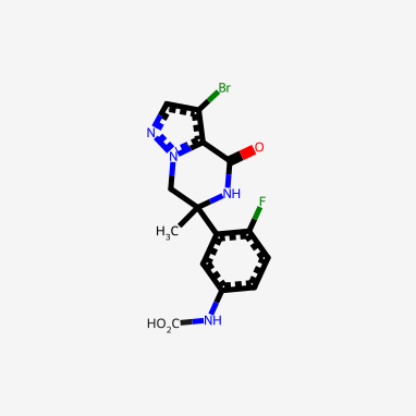 CC1(c2cc(NC(=O)O)ccc2F)Cn2ncc(Br)c2C(=O)N1